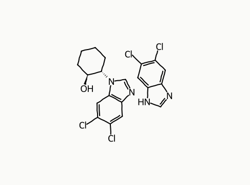 Clc1cc2nc[nH]c2cc1Cl.O[C@H]1CCCC[C@@H]1n1cnc2cc(Cl)c(Cl)cc21